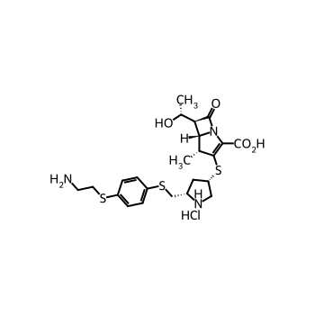 C[C@@H](O)[C@H]1C(=O)N2C(C(=O)O)=C(S[C@@H]3CN[C@H](CSc4ccc(SCCN)cc4)C3)[C@H](C)[C@H]12.Cl